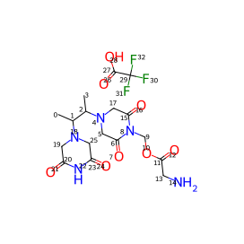 CC(C(C)N1CC(=O)N(COC(=O)CN)C(=O)C1)N1CC(=O)NC(=O)C1.O=C(O)C(F)(F)F